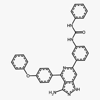 Nc1n[nH]c2cc(-c3cccc(NC(=O)Nc4ccccc4)c3)nc(-c3ccc(Oc4ccccc4)cc3)c12